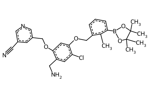 Cc1c(COc2cc(OCc3cncc(C#N)c3)c(CN)cc2Cl)cccc1B1OC(C)(C)C(C)(C)O1